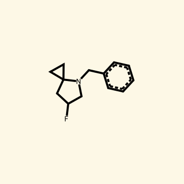 FC1CN(Cc2ccccc2)C2(CC2)C1